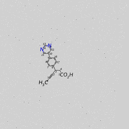 CC#CC(CC(=O)O)c1ccc(-c2cncnc2)cc1